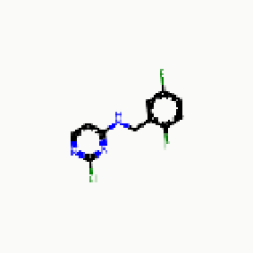 Fc1ccc(F)c(CNc2ccnc(Cl)n2)c1